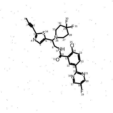 CC#Cc1ncc(C(CNC(=O)c2cc(-c3ncc(F)cn3)ccc2Cl)N2CCC(F)(F)CC2)s1